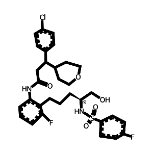 O=C(CC(c1ccc(Cl)cc1)C1CCOCC1)Nc1cccc(F)c1CCC[C@@H](CO)NS(=O)(=O)c1ccc(F)cc1